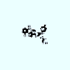 Cc1ccc(NC(=O)[C@H](CO[C@H](C)CO)Oc2ncnc3c2cnn3-c2c(N)cccc2Cl)nc1